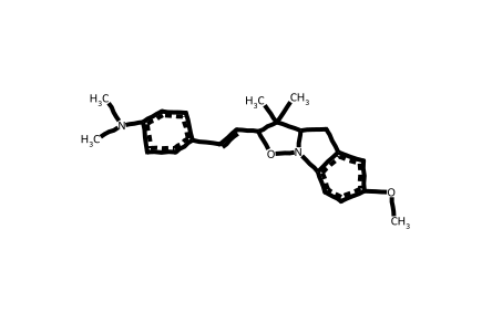 COc1ccc2c(c1)CC1N2OC(C=Cc2ccc(N(C)C)cc2)C1(C)C